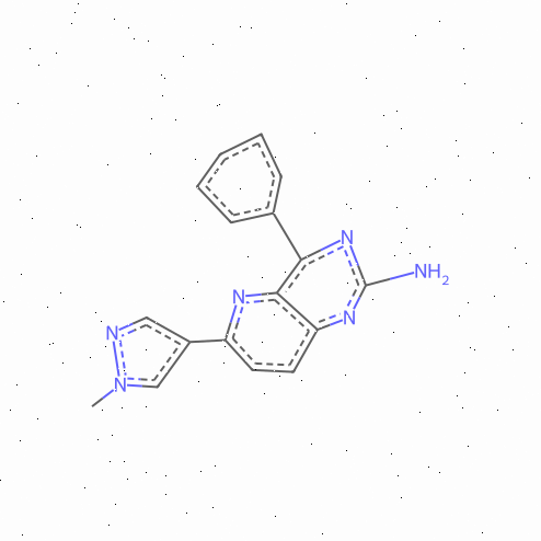 Cn1cc(-c2ccc3nc(N)nc(-c4ccccc4)c3n2)cn1